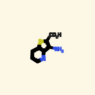 Nc1c(C(=O)O)sc2cccnc12